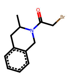 CC1Cc2ccccc2CN1C(=O)CBr